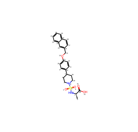 C[C@@H](NS(=O)(=O)N1CCC(c2ccc(OCc3ccc4ccccc4c3)cc2)CC1)C(=O)O